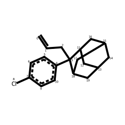 C=CCC1(c2ccc(Cl)cc2)C2CC3CC(C2)CC1C3